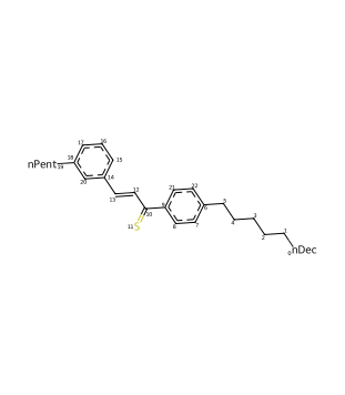 CCCCCCCCCCCCCCCc1ccc(C(=S)C=Cc2cccc(CCCCC)c2)cc1